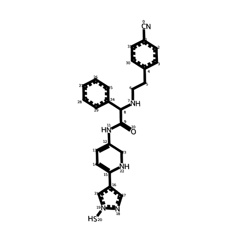 N#Cc1ccc(CCNC(C(=O)NC2=CC=C(c3cnn(S)c3)NC2)c2ccccc2)cc1